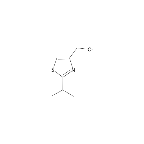 CC(C)c1nc(C[O])cs1